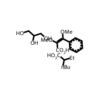 CCCCC(CC)C(=O)O.COC(C(=O)O)=C(OC)c1ccccc1.OCC(O)CO